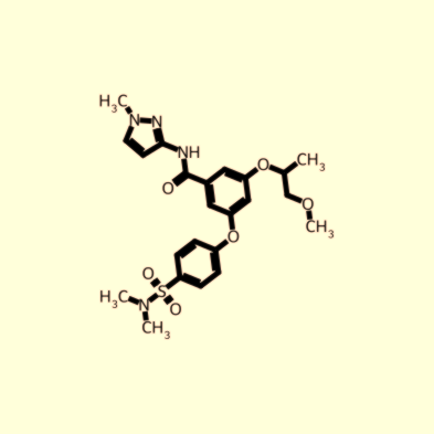 COCC(C)Oc1cc(Oc2ccc(S(=O)(=O)N(C)C)cc2)cc(C(=O)Nc2ccn(C)n2)c1